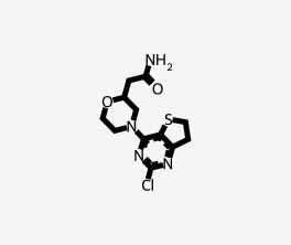 NC(=O)CC1CN(c2nc(Cl)nc3c2SCC3)CCO1